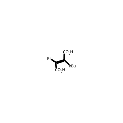 CCCCC(C(=O)O)=C(CC)C(=O)O